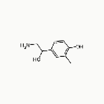 Cc1cc(C(O)CN)ccc1O